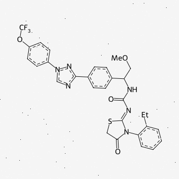 CCc1ccccc1N1C(=O)CS/C1=N\C(=O)NC(COC)c1ccc(-c2ncn(-c3ccc(OC(F)(F)F)cc3)n2)cc1